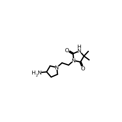 CC1(C)NC(=O)N(CCN2CCC(N)C2)C1=O